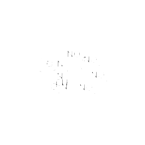 CN(c1ccccc1)C1([N+](=O)[O-])C([N+](=O)[O-])=C([N+](=O)[O-])C([N+](=O)[O-])=C([N+](=O)[O-])C1[N+](=O)[O-]